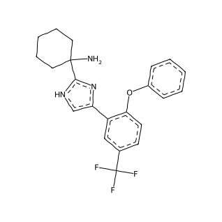 NC1(c2nc(-c3cc(C(F)(F)F)ccc3Oc3ccccc3)c[nH]2)CCCCC1